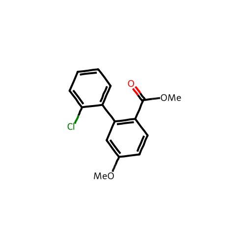 COC(=O)c1ccc(OC)cc1-c1ccccc1Cl